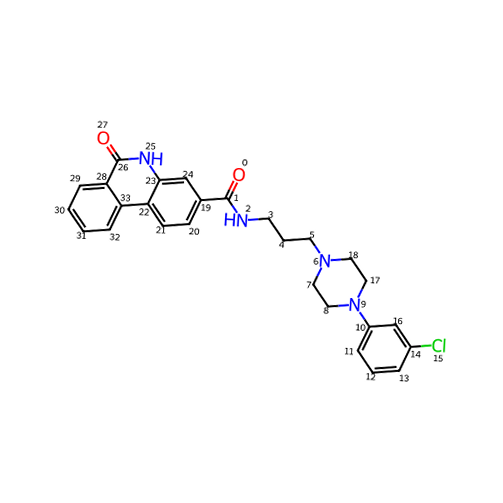 O=C(NCCCN1CCN(c2cccc(Cl)c2)CC1)c1ccc2c(c1)[nH]c(=O)c1ccccc12